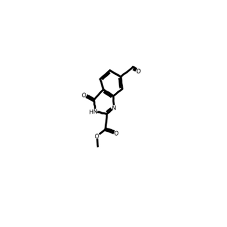 COC(=O)c1nc2cc([C]=O)ccc2c(=O)[nH]1